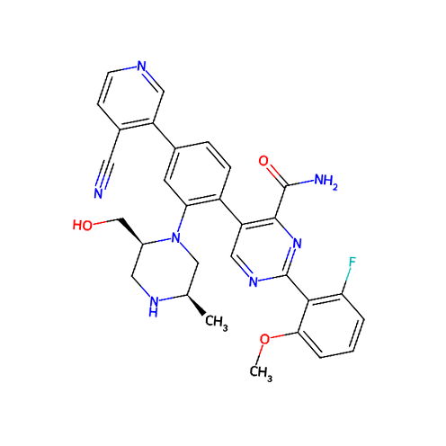 COc1cccc(F)c1-c1ncc(-c2ccc(-c3cnccc3C#N)cc2N2C[C@@H](C)NC[C@H]2CO)c(C(N)=O)n1